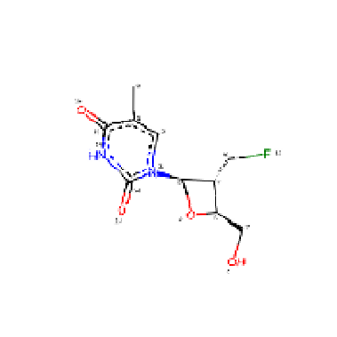 Cc1cn([C@@H]2O[C@H](CO)[C@H]2CF)c(=O)[nH]c1=O